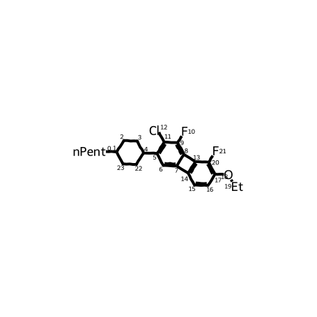 CCCCCC1CCC(c2cc3c(c(F)c2Cl)-c2c-3ccc(OCC)c2F)CC1